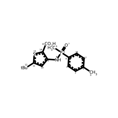 Cc1ccc(P(C)(=O)Nc2cc(C(C)(C)C)sc2C(=O)O)cc1